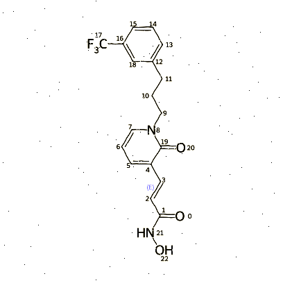 O=C(/C=C/c1cccn(CCCc2cccc(C(F)(F)F)c2)c1=O)NO